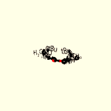 C=C1C[C@@H](c2nc(-c3ccc(C#Cc4ccc5[nH]c([C@H](C[C@@H]6CCCOC6)N(C)C(=O)OC(C)(C)C)nc5c4)cc3)c[nH]2)N(C(=O)OC(C)(C)C)C1